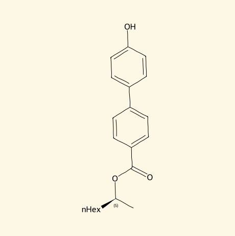 CCCCCC[C@H](C)OC(=O)c1ccc(-c2ccc(O)cc2)cc1